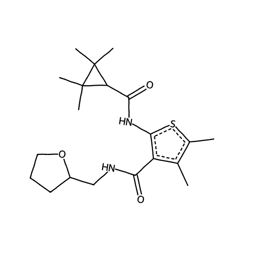 Cc1sc(NC(=O)C2C(C)(C)C2(C)C)c(C(=O)NCC2CCCO2)c1C